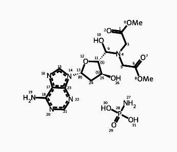 COC(=O)CN(CC(=O)OC)C(O)[C@H]1O[C@@H](n2cnc3c(N)ncnc32)C[C@@H]1O.NP(=O)(O)O